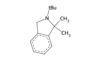 CC(C)(C)N1Cc2ccccc2C1(C)C